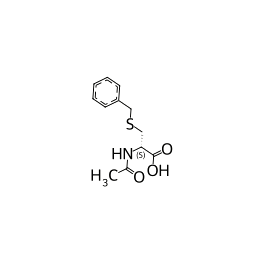 CC(=O)N[C@H](CSCc1ccccc1)C(=O)O